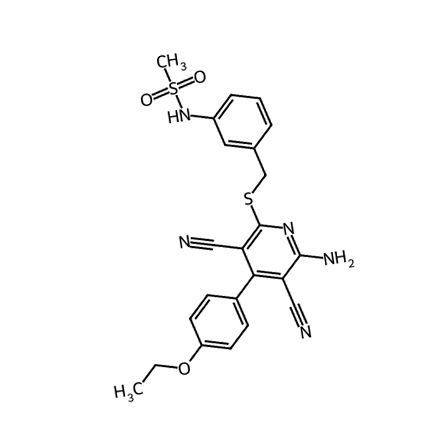 CCOc1ccc(-c2c(C#N)c(N)nc(SCc3cccc(NS(C)(=O)=O)c3)c2C#N)cc1